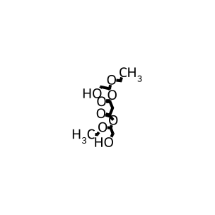 CCOC(CO)OC(=O)CC(=O)OC(CO)OCC